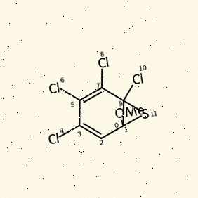 COC12C=C(Cl)C(Cl)=C(Cl)C1(Cl)S2